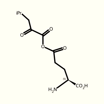 CC(C)CC(=O)C(=O)OC(=O)CC[C@H](N)C(=O)O